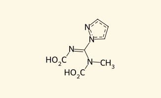 CN(C(=O)O)C(=NC(=O)O)n1cccn1